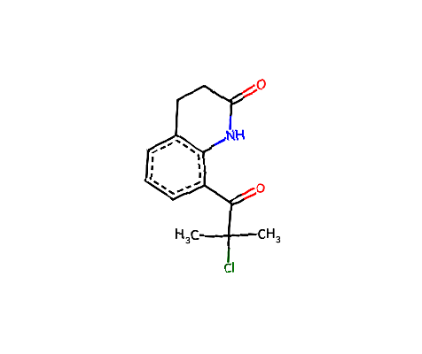 CC(C)(Cl)C(=O)c1cccc2c1NC(=O)CC2